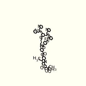 CCc1c2c(nc3ccc(OC(=O)c4ccc(CN(CCCCOc5cc(CN(Cc6ccccn6)Cc6ccccn6)cc(CN(Cc6ccccn6)Cc6ccccn6)c5)C(=O)c5ccc(C(F)(F)F)cc5)cc4)cc13)-c1cc3c(c(=O)n1C2)COC(=O)[C@]3(O)CC